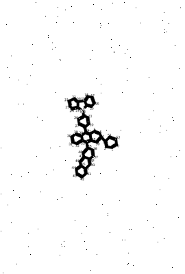 c1ccc(-c2ccc3c(-c4ccc(-n5c6ccccc6c6ccccc65)cc4)c4ccccc4c(-c4ccc5cc6ccccc6cc5c4)c3c2)cc1